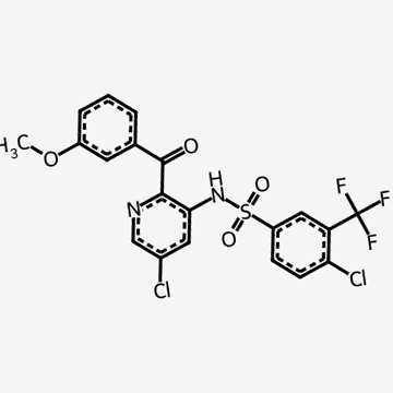 COc1cccc(C(=O)c2ncc(Cl)cc2NS(=O)(=O)c2ccc(Cl)c(C(F)(F)F)c2)c1